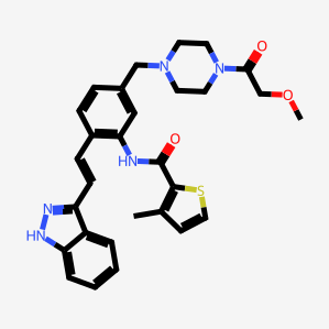 COCC(=O)N1CCN(Cc2ccc(C=Cc3n[nH]c4ccccc34)c(NC(=O)c3sccc3C)c2)CC1